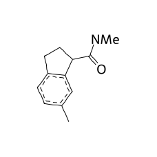 CNC(=O)C1CCc2ccc(C)cc21